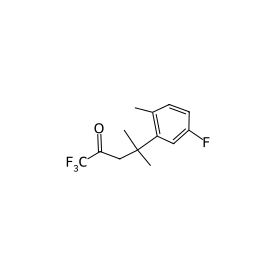 Cc1ccc(F)cc1C(C)(C)CC(=O)C(F)(F)F